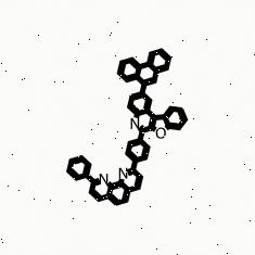 c1ccc(-c2ccc3ccc4ccc(-c5ccc(-c6nc7ccc(-c8cc9ccccc9c9ccccc89)cc7c7c6oc6ccccc67)cc5)nc4c3n2)cc1